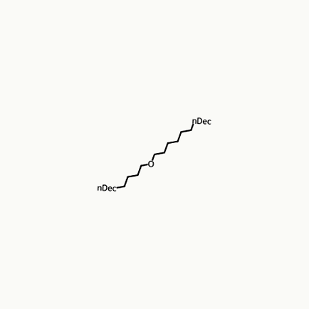 CCCCCCCCCCCCCCCCOCCCCCCCCCCCCCC